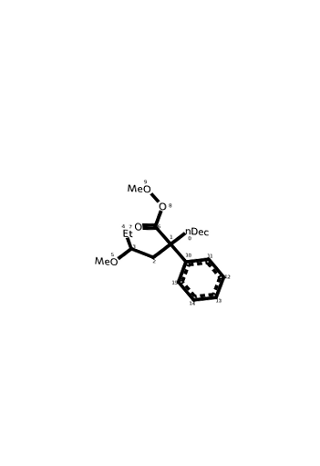 CCCCCCCCCCC(CC(CC)OC)(C(=O)OOC)c1ccccc1